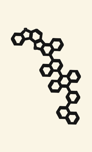 c1cc(-c2cccc3ccccc23)cc(-c2c3ccccc3c(-c3ccc(-c4cc5oc6c(ccc7oc8ccccc8c76)c5c5ccccc45)c4ccccc34)c3ccccc23)c1